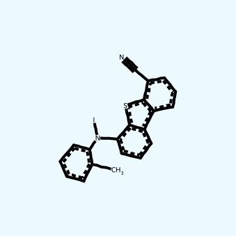 Cc1ccccc1N(I)c1cccc2c1sc1c(C#N)cccc12